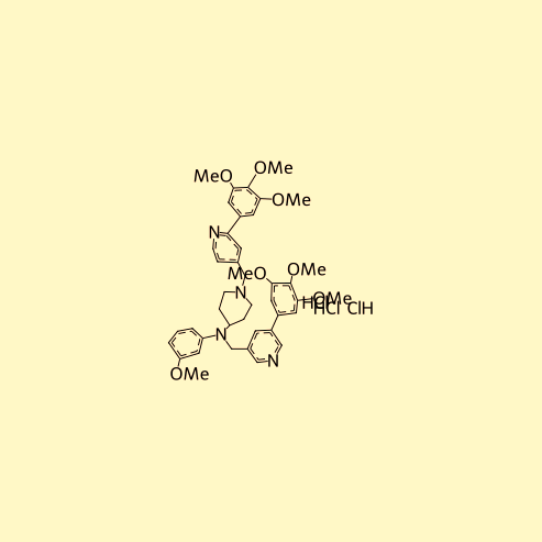 COc1cccc(N(Cc2cncc(-c3cc(OC)c(OC)c(OC)c3)c2)C2CCN(Cc3ccnc(-c4cc(OC)c(OC)c(OC)c4)c3)CC2)c1.Cl.Cl.Cl